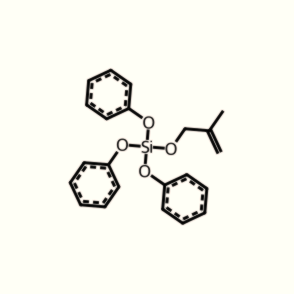 C=C(C)CO[Si](Oc1ccccc1)(Oc1ccccc1)Oc1ccccc1